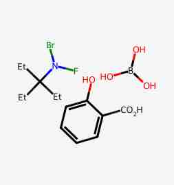 CCC(CC)(CC)N(F)Br.O=C(O)c1ccccc1O.OB(O)O